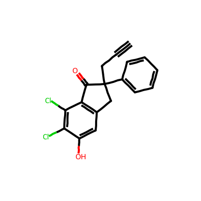 C#CCC1(c2ccccc2)Cc2cc(O)c(Cl)c(Cl)c2C1=O